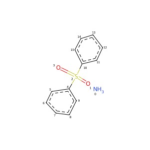 N.O=S(=O)(c1ccccc1)c1ccccc1